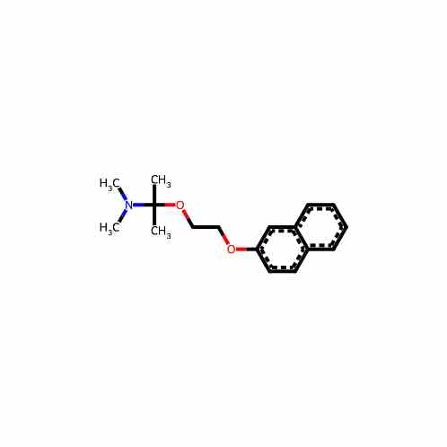 CN(C)C(C)(C)OCCOc1ccc2ccccc2c1